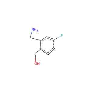 NCc1cc(F)ccc1CO